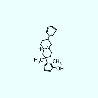 C[C@H]1CN2C[C@H](c3ccccc3)CC[C@H]2CC1(C)c1cccc(O)c1